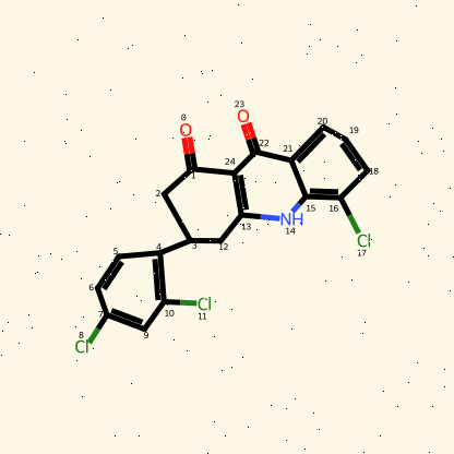 O=C1CC(c2ccc(Cl)cc2Cl)Cc2[nH]c3c(Cl)cccc3c(=O)c21